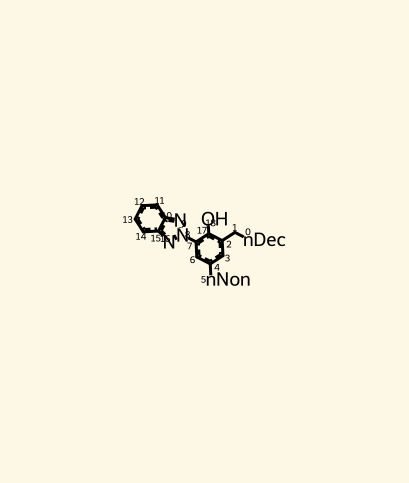 CCCCCCCCCCCc1cc(CCCCCCCCC)cc(-n2nc3ccccc3n2)c1O